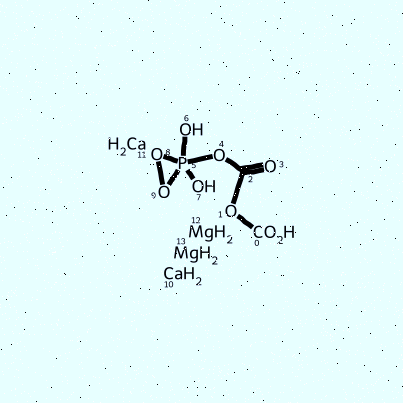 O=C(O)OC(=O)OP1(O)(O)OO1.[CaH2].[CaH2].[MgH2].[MgH2]